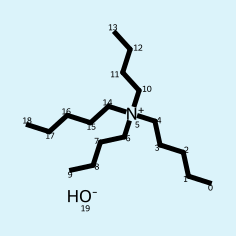 CCCCC[N+](CCCC)(CCCC)CCCCC.[OH-]